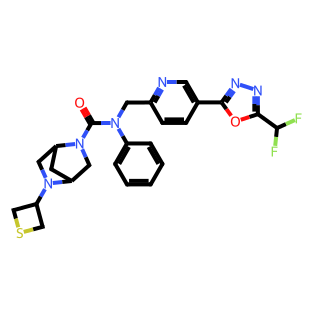 O=C(N(Cc1ccc(-c2nnc(C(F)F)o2)cn1)c1ccccc1)N1CC2CC1CN2C1CSC1